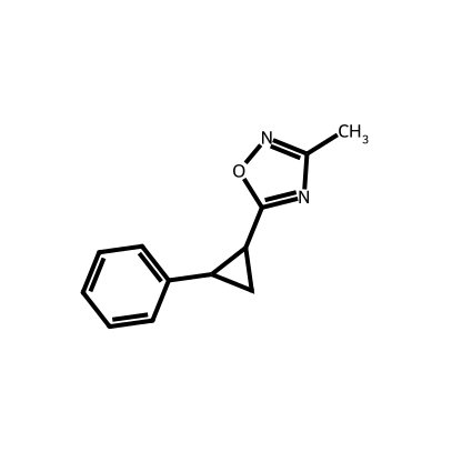 Cc1noc(C2CC2c2ccccc2)n1